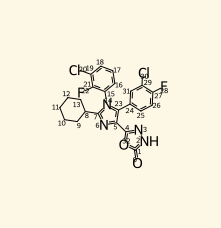 O=c1[nH]nc(-c2nc(C3CCCCC3)n(-c3cccc(Cl)c3F)c2-c2ccc(F)c(Cl)c2)o1